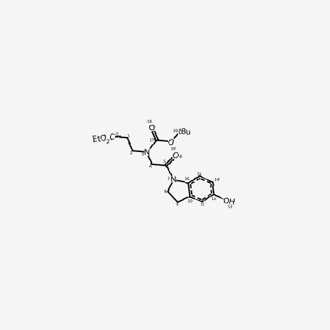 CCOC(=O)CCN(CC(=O)N1CCc2cc(O)ccc21)C(=O)OC(C)(C)C